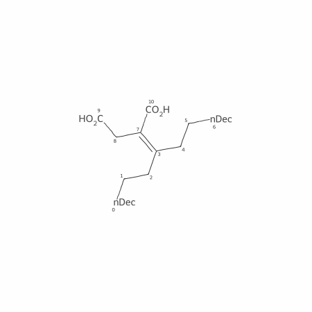 CCCCCCCCCCCCC(CCCCCCCCCCCC)=C(CC(=O)O)C(=O)O